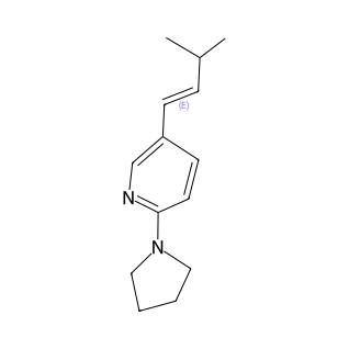 CC(C)/C=C/c1ccc(N2CCCC2)nc1